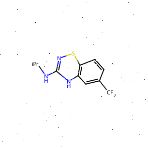 CC(C)NC1=NSc2ccc(C(F)(F)F)cc2N1